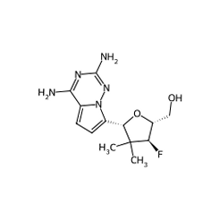 CC1(C)[C@H](F)[C@@H](CO)O[C@H]1c1ccc2c(N)nc(N)nn12